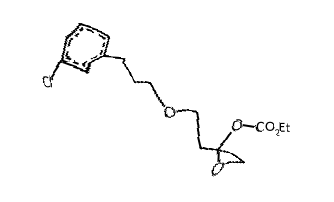 CCOC(=O)OC1(CCOCCCc2cccc(Cl)c2)CO1